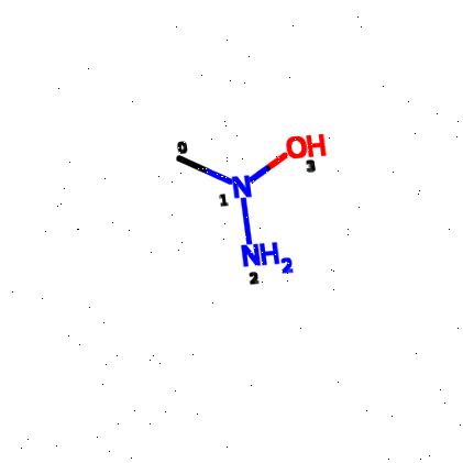 CN(N)O